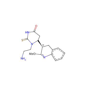 COC1=Nc2ccccc2C[C@@H]1C1CC(=O)NC(=S)N1CCN